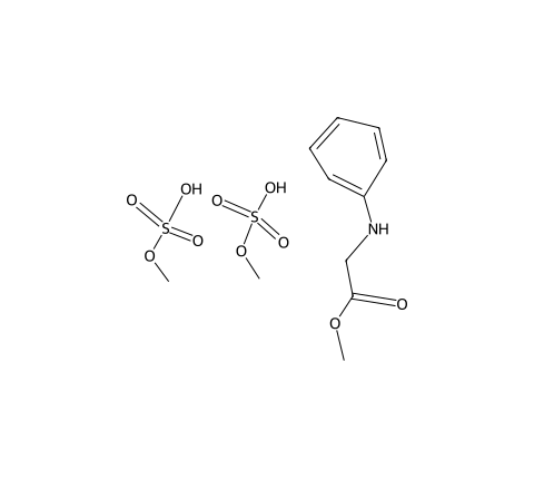 COC(=O)CNc1ccccc1.COS(=O)(=O)O.COS(=O)(=O)O